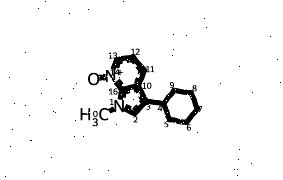 Cn1cc(C2CCCCC2)c2ccc[n+]([O-])c21